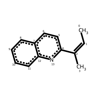 C/C=C(/C)c1ccc2ccccc2n1